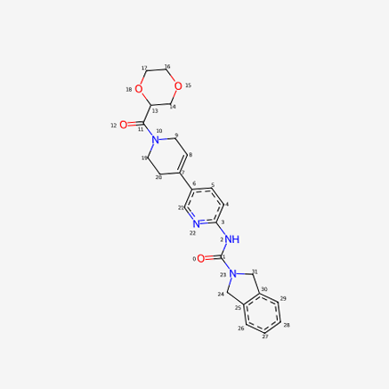 O=C(Nc1ccc(C2=CCN(C(=O)C3COCCO3)CC2)cn1)N1Cc2ccccc2C1